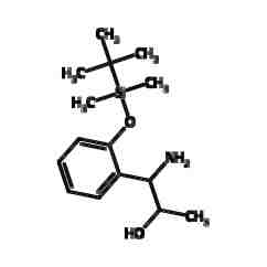 CC(O)C(N)c1ccccc1O[Si](C)(C)C(C)(C)C